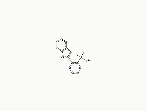 CC(C)(C)C(C)(C)c1ccccc1-c1nc2ccccc2[nH]1